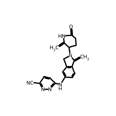 C=C1NC(=O)CCC1N1Cc2cc(Nc3ccc(C#N)nn3)ccc2C1=C